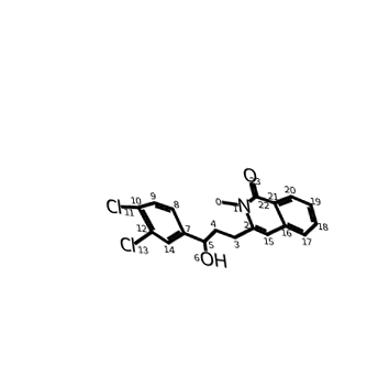 Cn1c(CCC(O)c2ccc(Cl)c(Cl)c2)cc2ccccc2c1=O